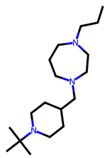 CCCN1CCCN(CC2CCN(C(C)(C)C)CC2)CC1